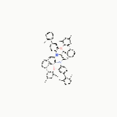 Cc1cc(C)c(B2c3cc(-c4c(C)cccc4C)ccc3N3c4cc5ccccc5c5c4N(c4ccc(-c6c(C)cccc6C)cc4B5c4c(C)cc(C)cc4C)c4cc5ccccc5c2c43)c(C)c1